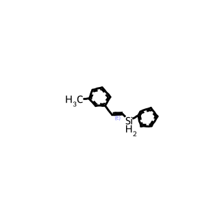 Cc1cccc(/C=C/[SiH2]c2ccccc2)c1